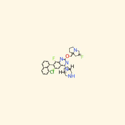 Fc1cc2c(N3[C@@H]4CC[C@H]3CNC4)nc(OC[C@@]34CCCN3C[C@H](F)C4)nc2c(F)c1-c1cccc2cccc(Cl)c12